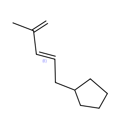 C=C(C)/C=C/CC1CCCC1